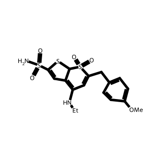 CCNC1=C2C=C(S(N)(=O)=O)SC2S(=O)(=O)C(Cc2ccc(OC)cc2)=C1